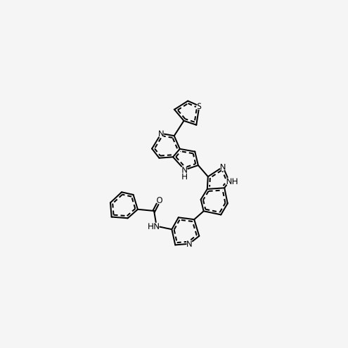 O=C(Nc1cncc(-c2ccc3[nH]nc(-c4cc5c(-c6ccsc6)nccc5[nH]4)c3c2)c1)c1ccccc1